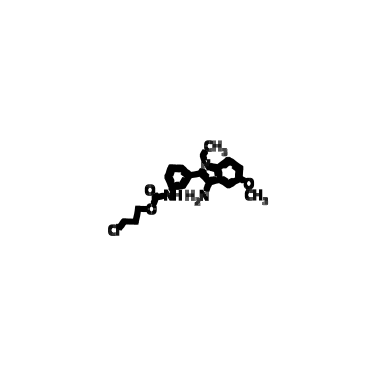 CCn1c(-c2cccc(NC(=O)OCCCCl)c2)c(N)c2cc(OC)ccc21